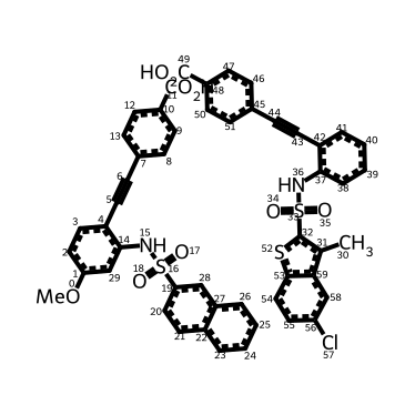 COc1ccc(C#Cc2ccc(C(=O)O)cc2)c(NS(=O)(=O)c2ccc3ccccc3c2)c1.Cc1c(S(=O)(=O)Nc2ccccc2C#Cc2ccc(C(=O)O)cc2)sc2ccc(Cl)cc12